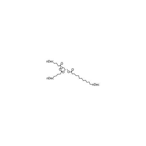 CCCCCCCCCCCCCCCCCCCCCC(=O)OC[C@@H](COC(=O)CCCCCCCCCCCCC)OC(=O)CCCCCCCCCCCCCC